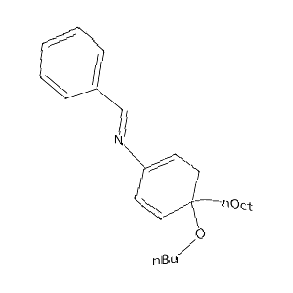 CCCCCCCCC1(OCCCC)C=CC(N=Cc2ccccc2)=CC1